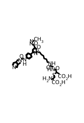 Cc1nnc(-c2cc(-c3ccc(NC(=O)N4Cc5ccncc5C4)cc3)nn(CCCCCCNC(=O)CNC(=O)C(CC(=O)O)SCC(N)C(=O)O)c2=O)o1